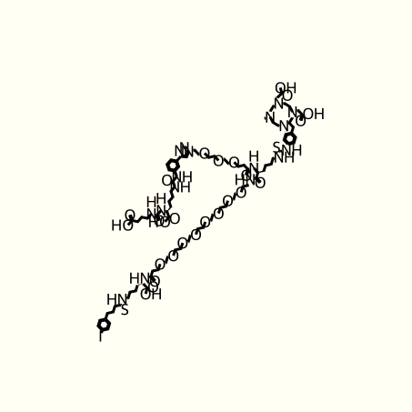 CN1CCN(CC(=O)O)CCN(CC(=O)O)CC(Cc2ccc(NC(=S)NCCCC[C@H](NC(=O)CCOCCOCCOCCn3cc(-c4cccc(NC(=O)NCCCC[C@H](NC(=O)NCCCC(=O)O)C(=O)O)c4)nn3)C(=O)NCCOCCOCCOCCOCCOCCOCCOCCOCCC(=O)N[C@@H](CCCCNC(=S)CCCc3ccc(I)cc3)C(=O)O)cc2)N(C)CC1